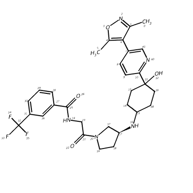 Cc1noc(C)c1-c1ccc(C2(O)CCC(N[C@H]3CCN(C(=O)CNC(=O)c4cccc(C(F)(F)F)c4)C3)CC2)nc1